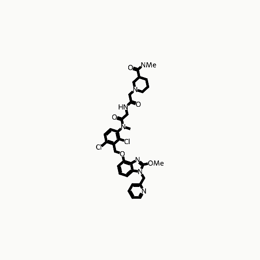 CNC(=O)C1CCCN(CC(=O)NCC(=O)N(C)c2ccc(Cl)c(COc3cccc4c3nc(OC)n4Cc3ccccn3)c2Cl)C1